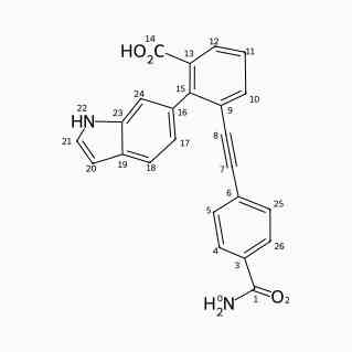 NC(=O)c1ccc(C#Cc2cccc(C(=O)O)c2-c2ccc3cc[nH]c3c2)cc1